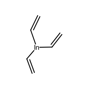 C=[CH][In]([CH]=C)[CH]=C